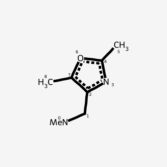 CNCc1nc(C)oc1C